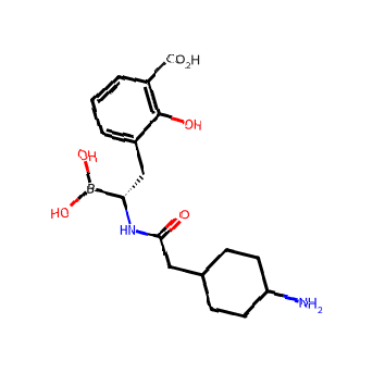 NC1CCC(CC(=O)N[C@@H](Cc2cccc(C(=O)O)c2O)B(O)O)CC1